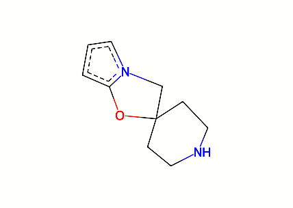 c1cc2n(c1)CC1(CCNCC1)O2